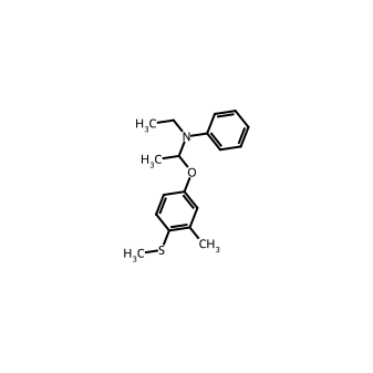 CCN(c1ccccc1)C(C)Oc1ccc(SC)c(C)c1